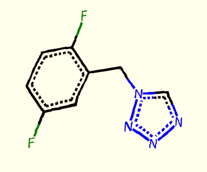 Fc1ccc(F)c(Cn2cnnn2)c1